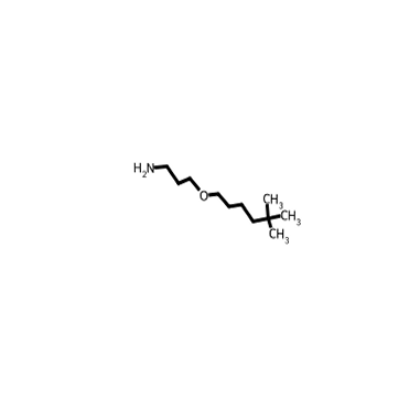 CC(C)(C)CCCCOCCCN